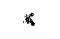 O=C(Nc1ccc2[nH]nc(C(=O)N[C@H]3CN4CCC3CC4)c2c1)NC1CCCC1